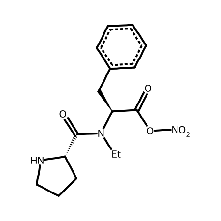 CCN(C(=O)[C@@H]1CCCN1)[C@@H](Cc1ccccc1)C(=O)O[N+](=O)[O-]